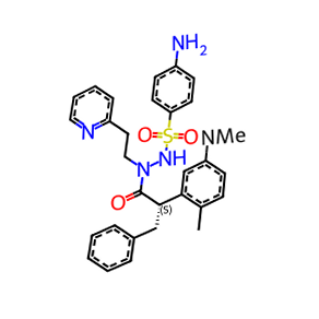 CNc1ccc(C)c([C@H](Cc2ccccc2)C(=O)N(CCc2ccccn2)NS(=O)(=O)c2ccc(N)cc2)c1